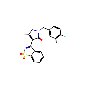 Cc1cc(CN2C(=O)C(C3=NS(=O)(=O)c4ccccc43)=C(O)[C@@H]2C(C)(C)C)ccc1F